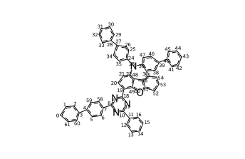 c1ccc(-c2ccc(-c3nc(-c4ccccc4)nc(-c4ccc(N(c5ccc(-c6ccccc6)cc5)c5ccc(-c6ccccc6)cc5)c5c4oc4ccccc45)n3)cc2)cc1